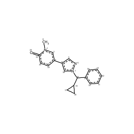 Cn1cc(-c2cnn(C(c3ccccc3)C3CC3)c2)ccc1=O